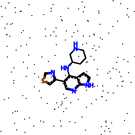 c1cc2c(N[C@@H]3CCCNC3)c(-c3cscn3)cnc2[nH]1